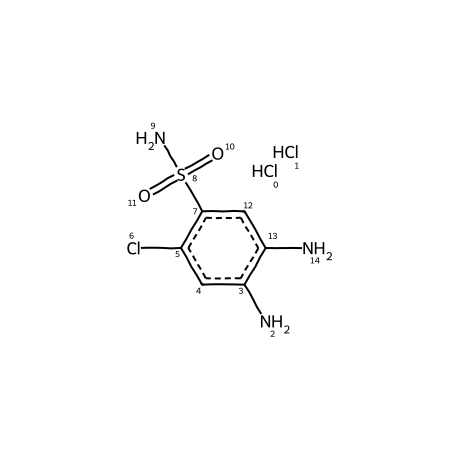 Cl.Cl.Nc1cc(Cl)c(S(N)(=O)=O)cc1N